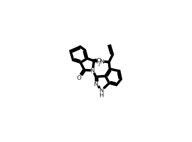 C=CC(N)c1cccc2[nH]nc(N3C(=O)c4ccccc4C3=O)c12